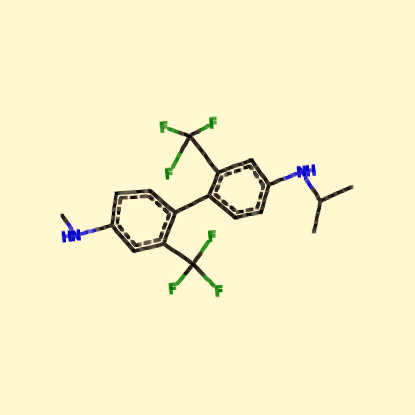 CNc1ccc(-c2ccc(NC(C)C)cc2C(F)(F)F)c(C(F)(F)F)c1